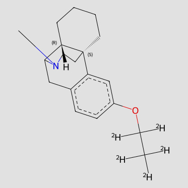 [2H]C([2H])([2H])C([2H])([2H])Oc1ccc2c(c1)[C@]13CCCC[C@H]1C(C2)N(C)CC3